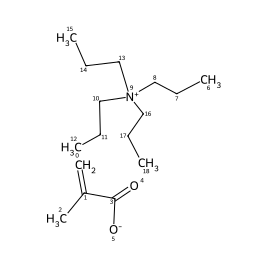 C=C(C)C(=O)[O-].CCC[N+](CCC)(CCC)CCC